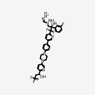 N/N=C\N(N)CC(O)(c1cccc(F)c1)C(F)(F)c1ccc(-c2ccc(N3CCN(c4ccc(C(O)CC(F)(F)F)nc4)CC3)cc2)cn1